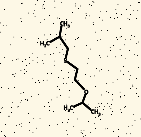 CC(C)CSCCOC(C)C